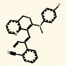 C=C/C(=C\C1=C(N(C)c2ccc(F)cc2)CCc2cccnc21)c1ccccc1C#N